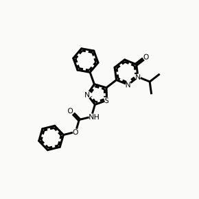 CC(C)n1nc(-c2sc(NC(=O)Oc3ccccc3)nc2-c2ccccc2)ccc1=O